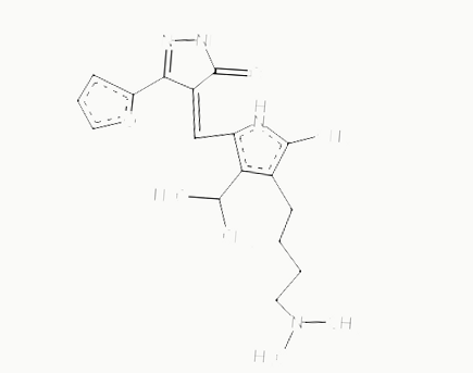 Cc1[nH]c(C=C2C(=O)NN=C2c2ccco2)c(C(C)C)c1CCCCN(C)C